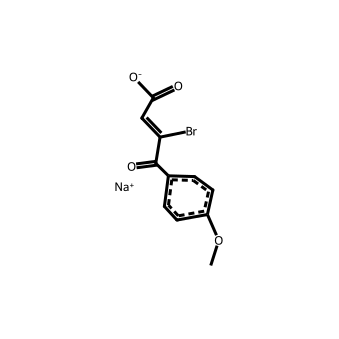 COc1ccc(C(=O)C(Br)=CC(=O)[O-])cc1.[Na+]